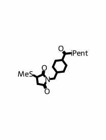 CCCC(C)C(=O)C1CCC(CN2C(=O)CC(SC)C2=O)CC1